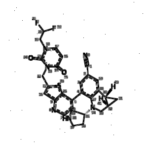 N#Cc1cc(-c2ccnc3cc(Cn4c(=O)ccn(CC(F)F)c4=O)sc23)c2c(c1)[C@@H]1C[C@@H]1CN2[C@@H]1CCNC1